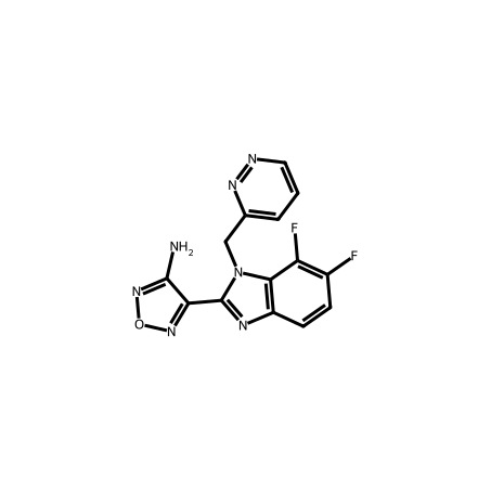 Nc1nonc1-c1nc2ccc(F)c(F)c2n1Cc1cccnn1